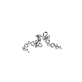 COc1ccc(Oc2ccc(S(=O)(=O)c3ccccc3CO[PH](=O)OCc3ccccc3S(=O)(=O)c3ccc(Oc4ccc(OC)cc4)cc3)cc2)cc1